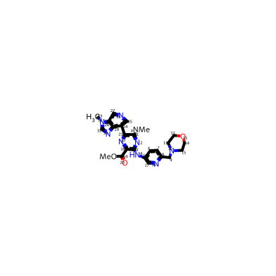 CNc1nc(Nc2ccc(CN3CCOCC3)nc2)c(C(=O)OC)nc1-c1cncc2c1ncn2C